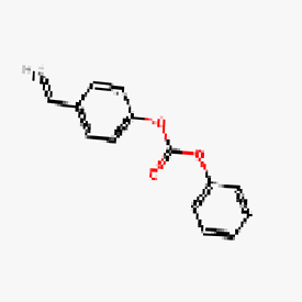 C=Cc1ccc(OC(=O)Oc2ccccc2)cc1